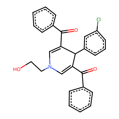 O=C(C1=CN(CCO)C=C(C(=O)c2ccccc2)C1c1cccc(Cl)c1)c1ccccc1